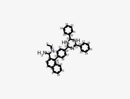 C/C=N\C(N)c1ccc2ccccc2c1-c1ccc(C2N=C(c3ccccc3)NC(c3ccccc3)N2)cc1